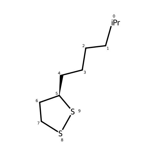 CC(C)CCCC[C@@H]1CCSS1